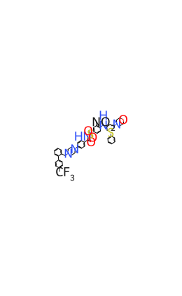 O=C(NS(=O)(=O)c1ccc(NC(CCN2CCOCC2)CSc2ccccc2)c([N+](=O)[O-])c1)c1ccc(N2CCN(Cc3ccccc3-c3ccc(C(F)(F)F)cc3)CC2)cc1